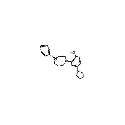 Oc1ccc(N2CCCC2)cc1N1CCCN(c2ccccc2)CC1